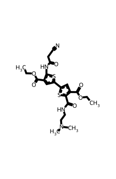 CCOC(=O)c1cc(-c2cc(C(=O)OCC)c(C(=O)NCCN(C)C)s2)sc1NC(=O)CC#N